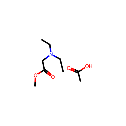 CC(=O)O.CCN(CC)CC(=O)OC